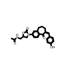 CC(=O)NCC1CN(c2ccc3c(c2)CCCC(=Cc2ccc(O)cc2)C3=O)C(=O)O1